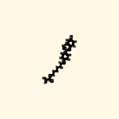 C=C(C)C(=O)OCCCCCCOc1ccc(C(=O)Oc2ccc(I)cc2C)cc1